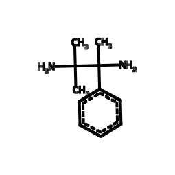 CC(C)(N)C(C)(N)c1ccccc1